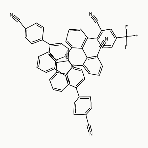 N#Cc1ccc(-c2ccc3c(c2)c2ccccc2n3-c2cccc(C#N)c2-c2c(-c3ccc(C(F)(F)F)cc3C#N)cccc2-n2c3ccccc3c3cc(-c4ccc(C#N)cc4)ccc32)cc1